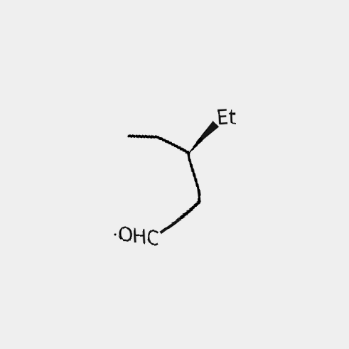 CC[C@H](C)C[C]=O